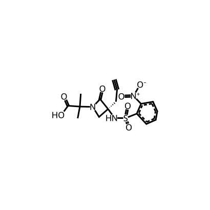 C#CC[C@]1(NS(=O)(=O)c2ccccc2[N+](=O)[O-])CN(C(C)(C)C(=O)O)C1=O